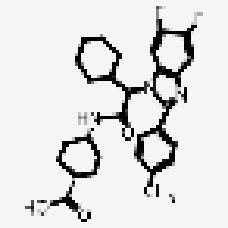 Cc1ccc(-c2nc3cc(F)c(F)cc3n2C(C(=O)N[C@H]2CC[C@H](C(=O)O)CC2)C2CCCCC2)cc1